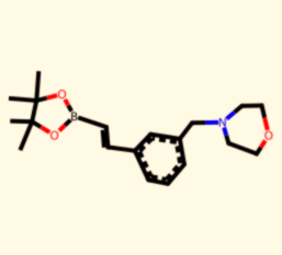 CC1(C)OB(/C=C/c2cccc(CN3CCOCC3)c2)OC1(C)C